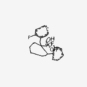 O=P(O)(O)C1(c2ccccc2F)CCCCC1c1ccccc1F